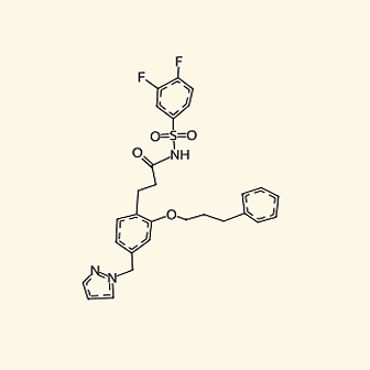 O=C(CCc1ccc(Cn2cccn2)cc1OCCCc1ccccc1)NS(=O)(=O)c1ccc(F)c(F)c1